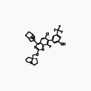 Oc1cc(-c2c(Cl)cc3c(N4CC5CCC(C4)N5)nc(OCC45CCCN4CCC5)nc3c2F)cc(C(F)(F)F)c1